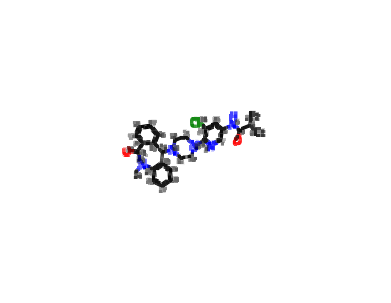 CCC(CC)C(=O)Nc1cnc(N2CCN(C3c4ccccc4C(=O)N(C)c4ccccc43)CC2)c(Cl)c1